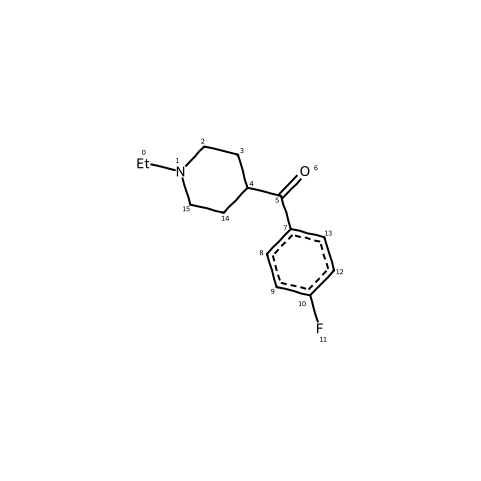 CCN1CCC(C(=O)c2ccc(F)cc2)CC1